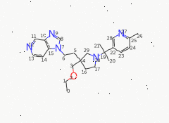 CCOCC1(CCn2cnc3cnccc32)CCN(C(C)(C)c2ccc(C)nc2)C1